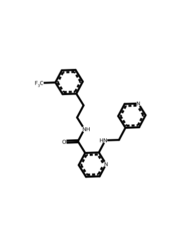 O=C(NCCc1cccc(C(F)(F)F)c1)c1cccnc1NCc1ccncc1